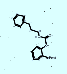 CCCCCc1ccccc1OC(=O)OCCCc1ccccc1